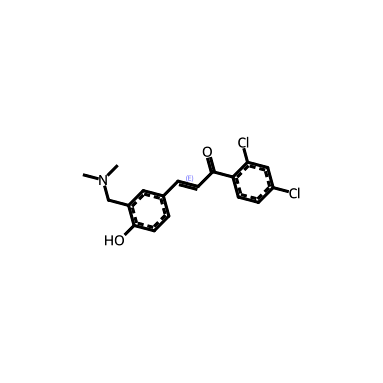 CN(C)Cc1cc(/C=C/C(=O)c2ccc(Cl)cc2Cl)ccc1O